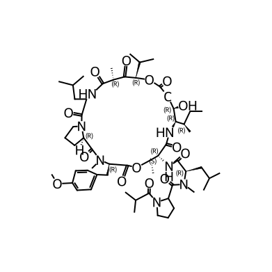 CC[C@@H](C)[C@H]1NC(=O)[C@H](NC(=O)[C@@H](CC(C)C)N(C)C(=O)C2CCCN2C(=O)C(C)C)[C@H](C)OC(=O)[C@@H](Cc2ccc(OC)cc2)N(C)C(=O)[C@H]2CCCN2C(=O)C(CC(C)C)NC(=O)[C@H](C)C(=O)[C@@H](C(C)C)OC(=O)C[C@H]1O